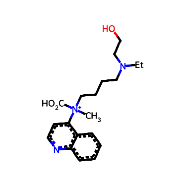 CCN(CCO)CCCC[N+](C)(C(=O)O)c1ccnc2ccccc12